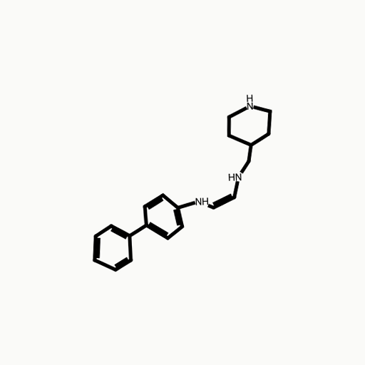 C(=C/Nc1ccc(-c2ccccc2)cc1)/NCC1CCNCC1